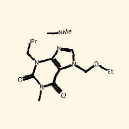 CCOCn1cnc2c1c(=O)n(C)c(=O)n2CC(C)C.CNC